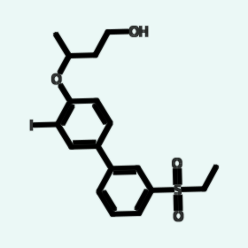 CCS(=O)(=O)c1cccc(-c2ccc(OC(C)CCO)c(I)c2)c1